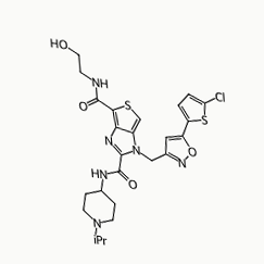 CC(C)N1CCC(NC(=O)c2nc3c(C(=O)NCCO)scc3n2Cc2cc(-c3ccc(Cl)s3)on2)CC1